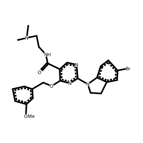 COc1cccc(COc2nc(N3CCc4cc(Br)ccc43)ncc2C(=O)NCCN(C)C)c1